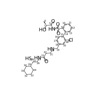 C[C@H](O)C(=O)NS(=O)(=O)c1ccccc1-c1ccc(CNCCC(=O)NC[C@@H](S)C2CCCCC2)cc1Cl